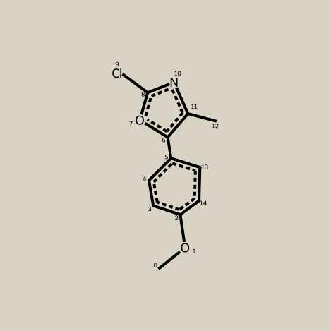 COc1ccc(-c2oc(Cl)nc2C)cc1